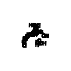 O=C(O)C(F)(F)F.O=C(c1cc(Cl)c(O)cc1OC[C@@H](O)CN1CCC2(CC1)Cc1cc(Cl)ccc1O2)N1CC[C@@H](CO)C1